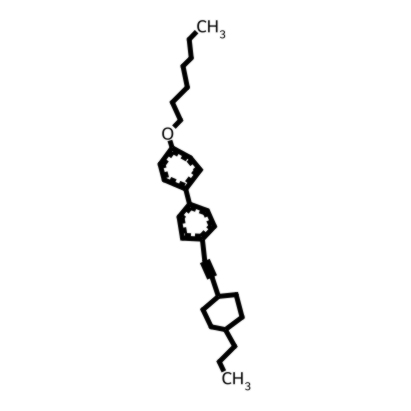 CCCCCCCOc1ccc(-c2ccc(C#CC3CCC(CCC)CC3)cc2)cc1